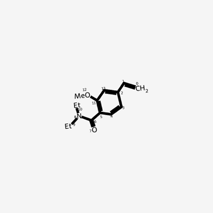 C=Cc1ccc(C(=O)N(CC)CC)c(OC)c1